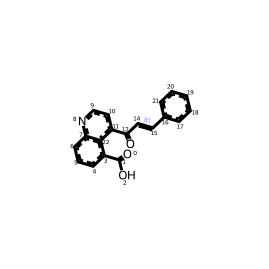 O=C(O)c1cccc2nccc(C(=O)/C=C/c3ccccc3)c12